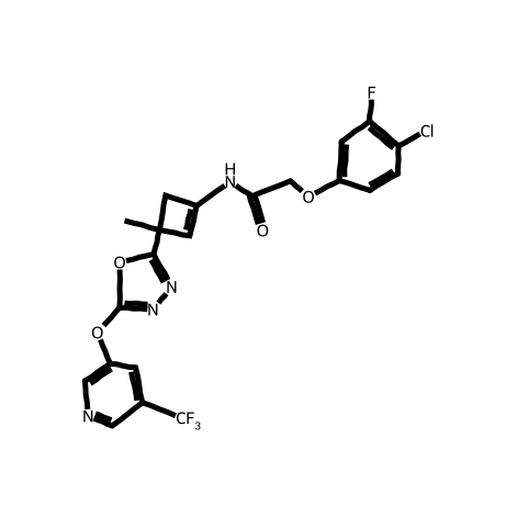 CC1(c2nnc(Oc3cncc(C(F)(F)F)c3)o2)C=C(NC(=O)COc2ccc(Cl)c(F)c2)C1